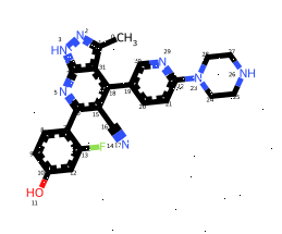 Cc1n[nH]c2nc(-c3ccc(O)cc3F)c(C#N)c(-c3ccc(N4CCNCC4)nc3)c12